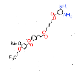 COc1cc(C(=O)Oc2ccc(C=CC(=O)OCCCCCCOC(=O)c3cc(N)cc(N)c3)cc2)ccc1OCCCC(F)(F)F